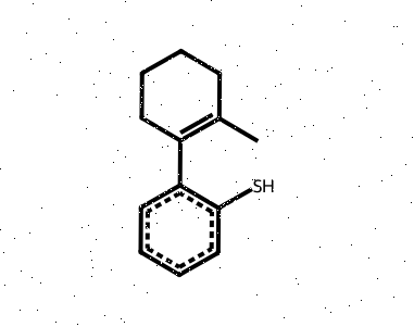 CC1=C(c2ccccc2S)CCCC1